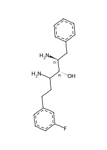 NC(CCc1cccc(F)c1)[C@@H](O)[C@@H](N)Cc1ccccc1